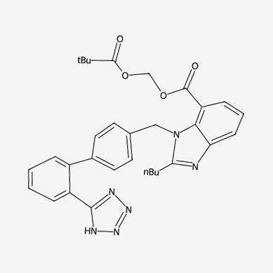 CCCCc1nc2cccc(C(=O)OCOC(=O)C(C)(C)C)c2n1Cc1ccc(-c2ccccc2-c2nnn[nH]2)cc1